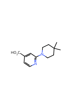 CC1(C)CCN(c2cc(C(=O)O)ccn2)CC1